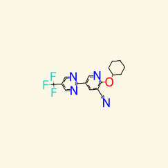 N#Cc1cc(-c2ncc(C(F)(F)F)cn2)cnc1OC1CCCCC1